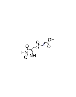 O=C(O)/C=C/C(=O)OCc1c[nH]c(=O)[nH]c1=O